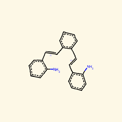 Nc1ccccc1/C=C/c1ccccc1/C=C/c1ccccc1N